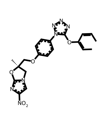 C/C=C\C(=C/C)Oc1nnnn1-c1ccc(OC[C@@]2(C)Cn3cc([N+](=O)[O-])nc3O2)cc1